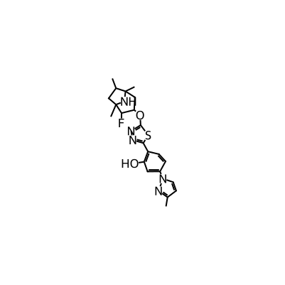 Cc1ccn(-c2ccc(-c3nnc(OC4CC5(C)NC(C)(CC5C)C4F)s3)c(O)c2)n1